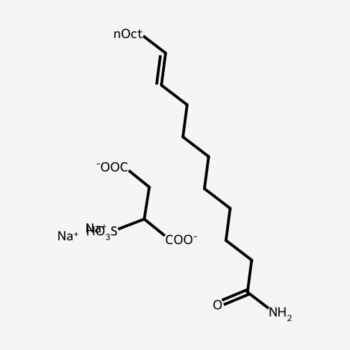 CCCCCCCCC=CCCCCCCCC(N)=O.O=C([O-])CC(C(=O)[O-])S(=O)(=O)O.[Na+].[Na+]